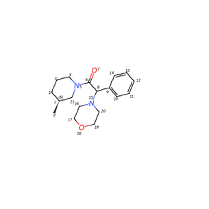 C[C@H]1CCCN(C(=O)C(c2ccccc2)N2CCOCC2)C1